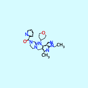 CCn1ncc2c(NC3CCOCC3)c(CN3CCN(C(=O)c4ccccn4)CC3)c(C)nc21